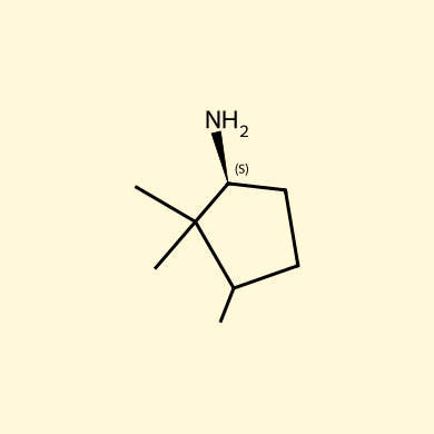 CC1CC[C@H](N)C1(C)C